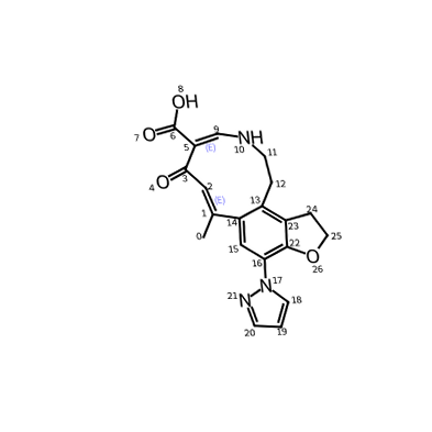 C/C1=C\C(=O)/C(C(=O)O)=C\NCCc2c1cc(-n1cccn1)c1c2CCO1